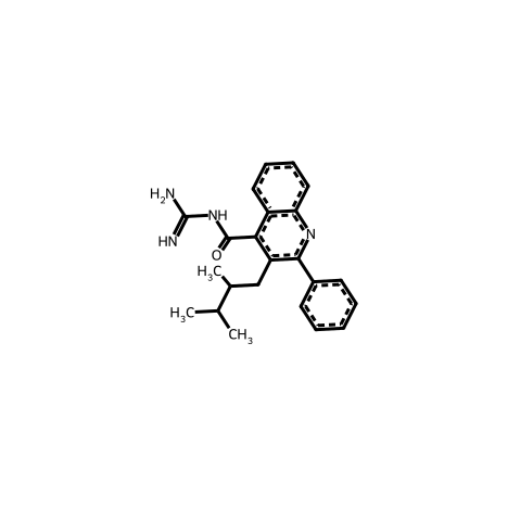 CC(C)C(C)Cc1c(-c2ccccc2)nc2ccccc2c1C(=O)NC(=N)N